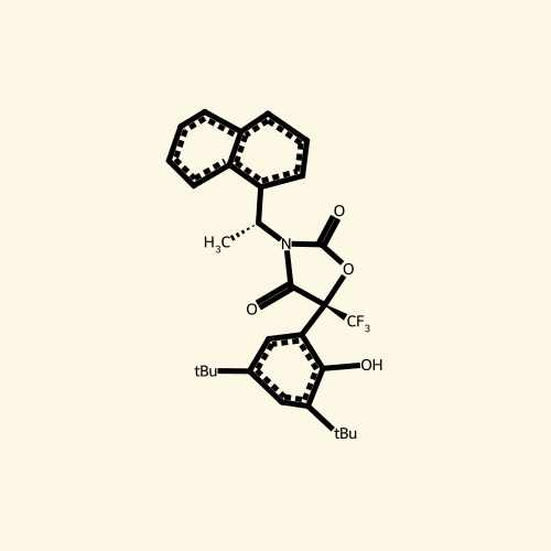 C[C@H](c1cccc2ccccc12)N1C(=O)O[C@@](c2cc(C(C)(C)C)cc(C(C)(C)C)c2O)(C(F)(F)F)C1=O